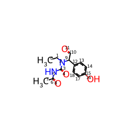 CCN(C(=O)NC(C)=O)C([C]=O)c1ccc(O)cc1